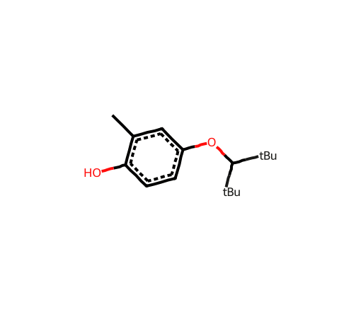 Cc1cc(OC(C(C)(C)C)C(C)(C)C)ccc1O